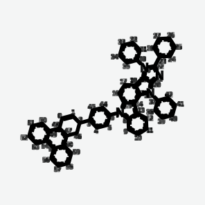 C1=CC(c2ccc(-n3c4ccccc4c4c3ccc3c5c(nc(-c6ccccc6)n5-c5ccccc5)n(-c5ccccc5)c34)cc2)Cc2c1c1ccccc1c1ccccc21